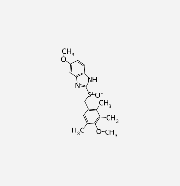 COc1ccc2[nH]c([S+]([O-])Cc3cc(C)c(OC)c(C)c3C)nc2c1